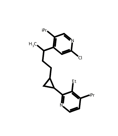 CCc1c(C(C)C)ccnc1C1CC1CCC(C)c1cc(Cl)ncc1C(C)C